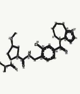 CO[C@@H]1C[C@@H](C(=O)N(C)C)N(C(=O)NCc2ccc(C(=O)N3CCCCc4sccc43)cc2Cl)C1